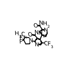 C[C@H]1CN(c2ncc(C(F)(F)F)c(-c3ccnc(C(N)=O)c3)c2C(N)=O)CCC1(F)F